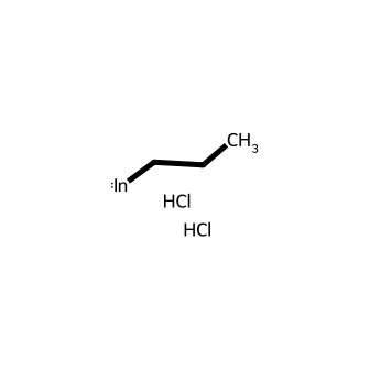 CC[CH2][In].Cl.Cl